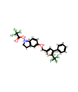 O=C(ON1CCc2cc(OCc3cc(-c4ccccc4)c(C(F)(F)F)s3)ccc21)C(F)(F)F